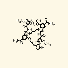 CCc1nc(C)sc1C(=O)Nc1nc2cc(C(N)=O)cc(OCCCN3CCNCC3)c2n1CC=CCn1c(NC(=O)c2cc(C)nn2CC)nc2cc(C(N)=O)cc(OC)c21